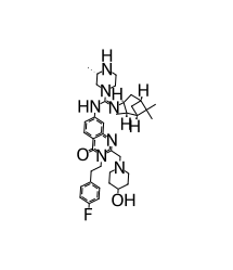 C[C@@H]1[C@@H](N=C(Nc2ccc3c(=O)n(CCc4ccc(F)cc4)c(CN4CCC(O)CC4)nc3c2)N2CCN[C@@H](C)C2)C[C@H]2C[C@@H]1C2(C)C